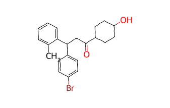 Cc1ccccc1C(CC(=O)C1CCC(O)CC1)c1ccc(Br)cc1